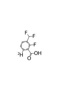 [2H]c1ccc(C(F)F)c(F)c1C(=O)O